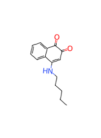 CCCCCNC1=CC(=O)C(=O)c2ccccc21